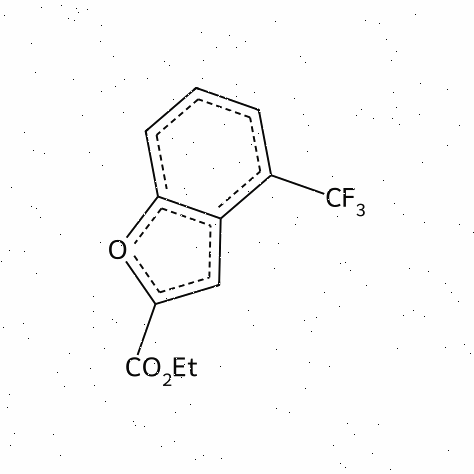 CCOC(=O)c1cc2c(C(F)(F)F)cccc2o1